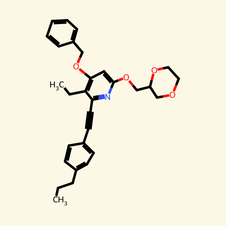 CCCc1ccc(C#Cc2nc(OCC3COCCO3)cc(OCc3ccccc3)c2CC)cc1